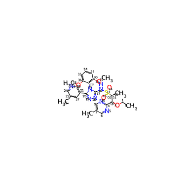 CCO[C@@H](c1ncc(C)cn1)[C@H](C)S(=O)(=O)Nc1nnc(-c2cncc(C)c2)n1-c1c(OC)cccc1OC